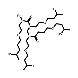 CC(S)CCCOCCN(C(=O)N(CCOCCC(C)S)CN(CCOCCC(C)S)C(=O)CCCOCCC(C)S)C(C)C